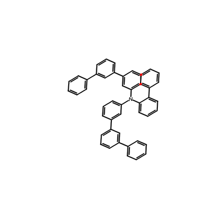 c1ccc(-c2cccc(-c3cccc(N(c4cccc(-c5cccc(-c6ccccc6)c5)c4)c4ccccc4-c4ccccc4)c3)c2)cc1